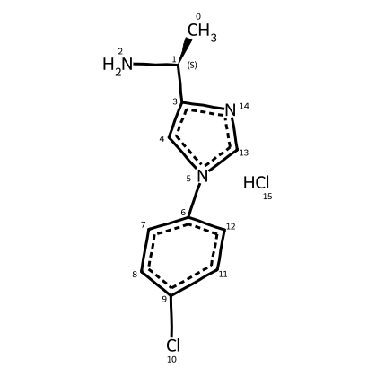 C[C@H](N)c1cn(-c2ccc(Cl)cc2)cn1.Cl